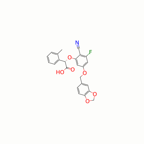 Cc1ccccc1[C@H](Oc1cc(OCc2ccc3c(c2)OCO3)cc(F)c1C#N)C(=O)O